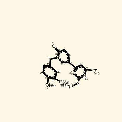 CCCCCCCSc1nc(-c2ccc(=O)n(Cc3ccc(OC)c(OC)c3)c2)cc(C(F)(F)F)n1